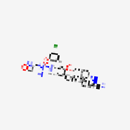 COc1cc(CCOc2cc3c(cc2OC)CCN(C(=O)NCc2ccon2)C3c2ccc(F)cc2C)ccc1N